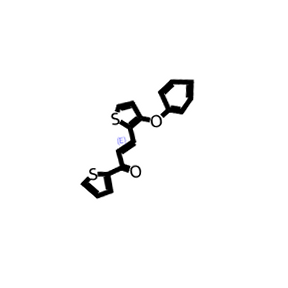 O=C(/C=C/c1sccc1Oc1ccccc1)c1cccs1